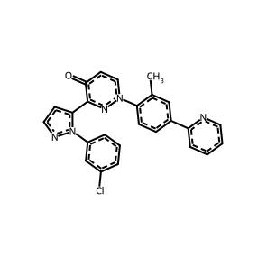 Cc1cc(-c2ccccn2)ccc1-n1ccc(=O)c(-c2ccnn2-c2cccc(Cl)c2)n1